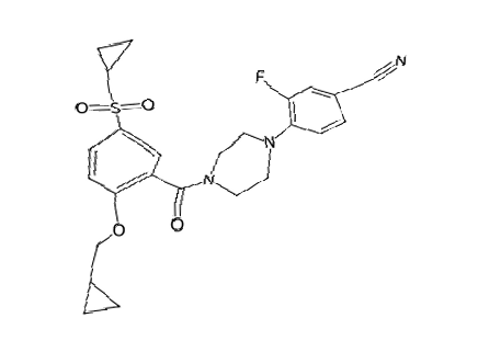 N#Cc1ccc(N2CCN(C(=O)c3cc(S(=O)(=O)C4CC4)ccc3OCC3CC3)CC2)c(F)c1